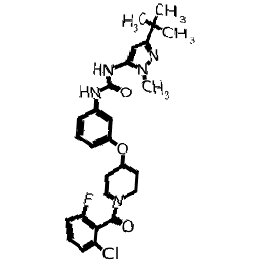 Cn1nc(C(C)(C)C)cc1NC(=O)Nc1cccc(OC2CCN(C(=O)c3c(F)cccc3Cl)CC2)c1